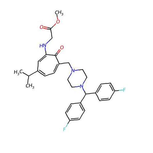 COC(=O)CNc1cc(C(C)C)ccc(CN2CCN(C(c3ccc(F)cc3)c3ccc(F)cc3)CC2)c1=O